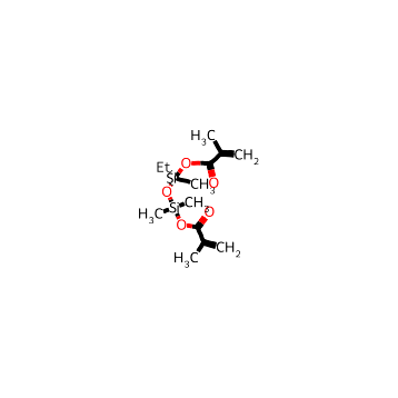 C=C(C)C(=O)O[Si](C)(C)O[Si](C)(CC)OC(=O)C(=C)C